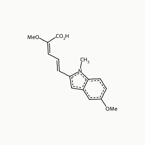 COC(=CC=Cc1cc2cc(OC)ccc2n1C)C(=O)O